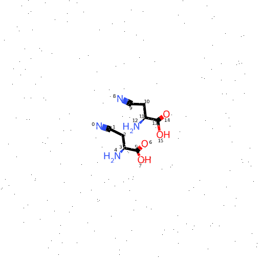 N#CC[C@H](N)C(=O)O.N#CC[C@H](N)C(=O)O